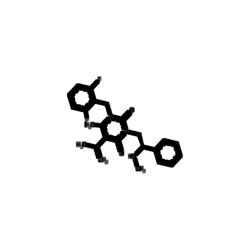 C=C(C)c1c(C)n(Cc2c(F)cccc2F)c(=O)n(C[C@H](NC)c2ccccc2)c1=O